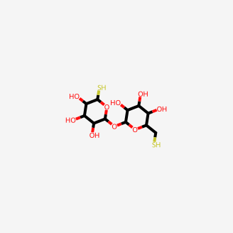 OC1C(S)OC(OC2OC(CS)C(O)C(O)C2O)C(O)C1O